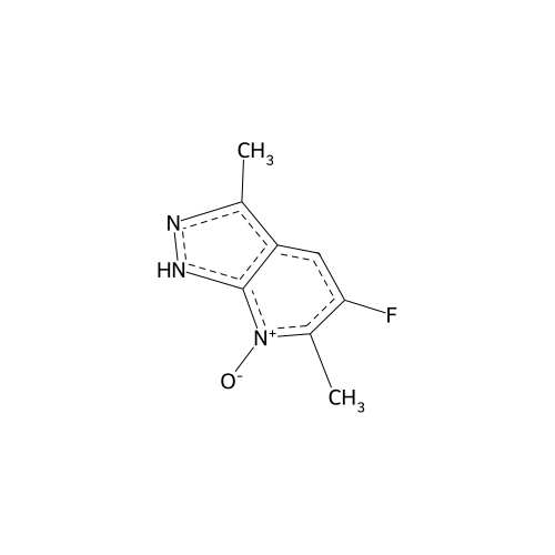 Cc1n[nH]c2c1cc(F)c(C)[n+]2[O-]